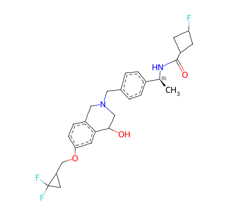 C[C@H](NC(=O)C1CC(F)C1)c1ccc(CN2Cc3ccc(OCC4CC4(F)F)cc3C(O)C2)cc1